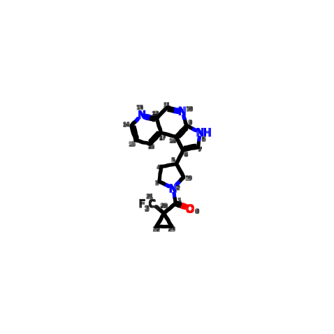 O=C(N1CCC(c2c[nH]c3ncc4ncccc4c23)C1)C1(C(F)(F)F)CC1